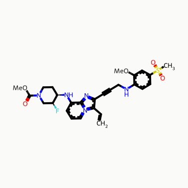 C=Cc1c(C#CCNc2ccc(S(C)(=O)=O)cc2OC)nc2c(N[C@@H]3CCN(C(=O)OC)C[C@@H]3F)cccn12